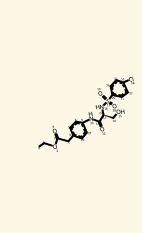 CCOC(=O)Cc1ccc(NC(=O)[C@H](CO)NS(=O)(=O)c2ccc(Cl)cc2)cc1